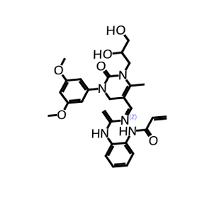 C=CC(=O)Nc1ccccc1NC(=C)/N=C\C1=C(C)N(CC(O)CO)C(=O)N(c2cc(OC)cc(OC)c2)C1